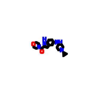 O=C(c1cc2cc(NC3CCN(C4CC4)CC3)ccc2[nH]1)N1CCOCC1